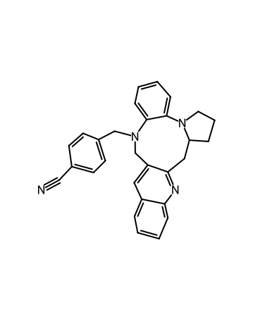 N#Cc1ccc(CN2Cc3cc4ccccc4nc3CC3CCCN3c3ccccc32)cc1